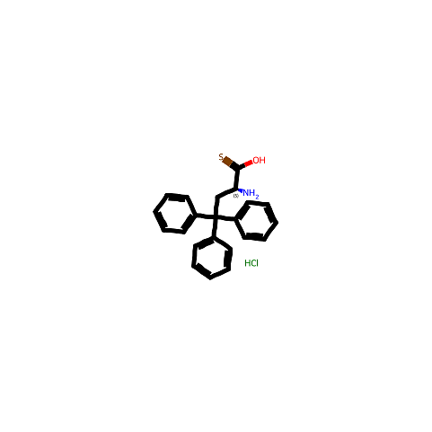 Cl.N[C@@H](CC(c1ccccc1)(c1ccccc1)c1ccccc1)C(O)=S